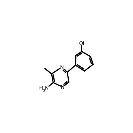 Cc1nc(-c2cccc(O)c2)cnc1N